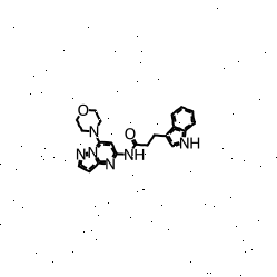 O=C(CCc1c[nH]c2ccccc12)Nc1cc(N2CCOCC2)n2nccc2n1